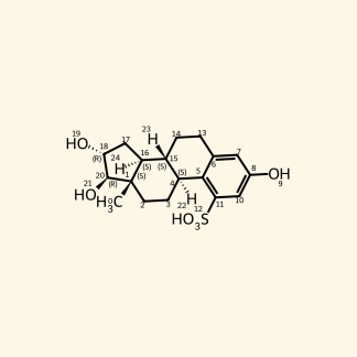 C[C@]12CC[C@@H]3c4c(cc(O)cc4S(=O)(=O)O)CC[C@H]3[C@@H]1C[C@@H](O)[C@@H]2O